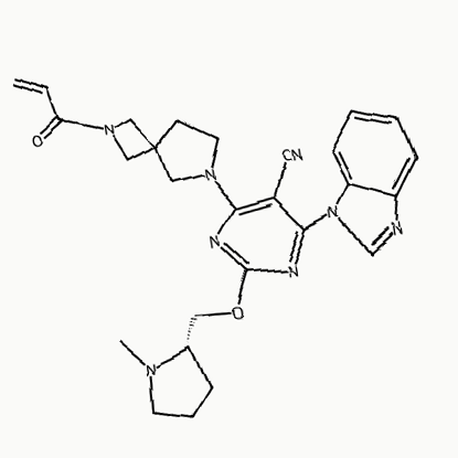 C=CC(=O)N1CC2(CCN(c3nc(OC[C@@H]4CCCN4C)nc(-n4cnc5ccccc54)c3C#N)C2)C1